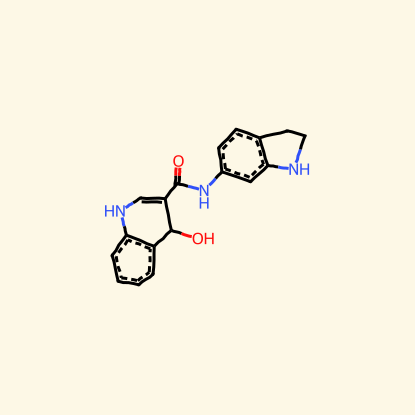 O=C(Nc1ccc2c(c1)NCC2)C1=CNc2ccccc2C1O